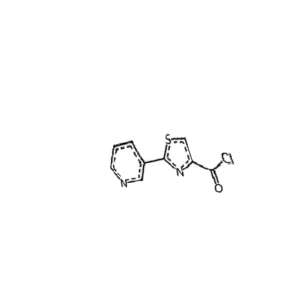 O=C(Cl)c1csc(-c2cccnc2)n1